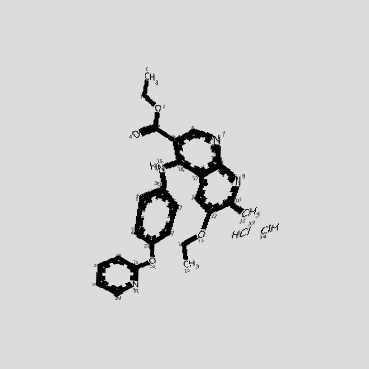 CCOC(=O)c1cnc2nc(C)c(OCC)cc2c1Nc1ccc(Oc2ccccn2)cc1.Cl.Cl